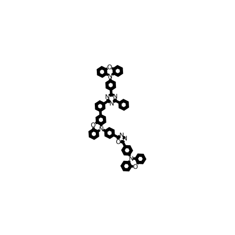 c1ccc(-c2nc(-c3ccc(N4c5ccccc5Oc5ccccc54)cc3)nc(-c3cccc(-c4ccc5c(c4)Oc4ccccc4N5c4ccc(-c5nnc(-c6ccc(N7c8ccccc8Oc8ccccc87)cc6)o5)cc4)c3)n2)cc1